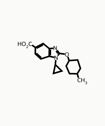 CC1CCC(Oc2nc3cc(C(=O)O)ccc3n2C2CC2)CC1